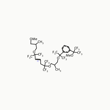 COCC(C)COC(/C=C/CC(OCC(C)COC(c1cccc(C(OC)(C(F)(F)F)C(F)(F)F)c1)(C(F)(F)F)C(F)(F)F)(C(F)(F)F)C(F)(F)F)(C(F)(F)F)C(F)(F)F